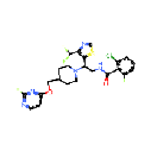 O=C(NCC(c1scnc1C(F)F)N1CCC(COc2ccnc(F)n2)CC1)c1c(F)cccc1Cl